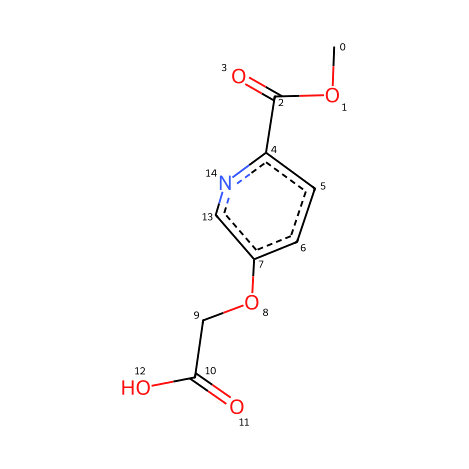 COC(=O)c1ccc(OCC(=O)O)cn1